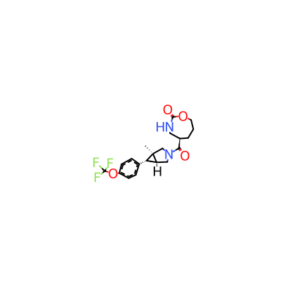 C[C@]12CN(C(=O)[C@@H]3CCCOC(=O)NC3)C[C@H]1[C@@H]2c1ccc(OC(F)(F)F)cc1